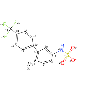 O=S(=O)([O-])Nc1cccc(-c2ccc(C(F)(F)F)cc2)c1.[Na+]